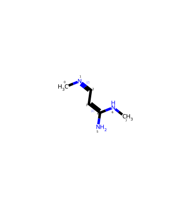 C/N=C\C=C(\N)NC